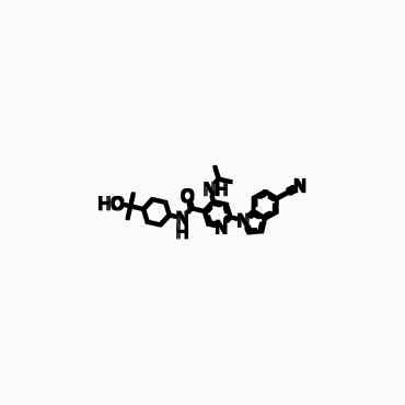 CC(C)Nc1cc(-n2ccc3cc(C#N)ccc32)ncc1C(=O)NC1CCC(C(C)(C)O)CC1